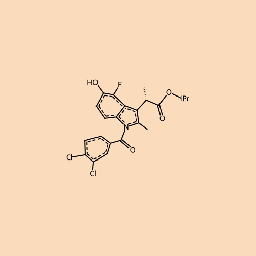 Cc1c([C@H](C)C(=O)OC(C)C)c2c(F)c(O)ccc2n1C(=O)c1ccc(Cl)c(Cl)c1